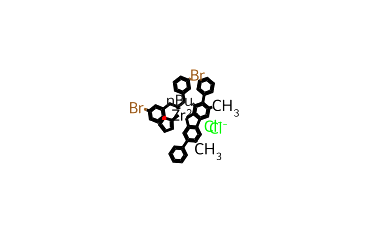 CCCCc1c(-c2ccccc2)c(C)cc2c1[CH]([Zr+2]([C]1=CC=CC1)=[C](Cc1cccc(Br)c1)Cc1cccc(Br)c1)c1cc(-c3ccccc3)c(C)cc1-2.[Cl-].[Cl-]